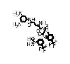 N[C@@H]1C[C@H](N)C[C@@H](NC(=O)CC[C@H](N)C(=O)N[C@H](Cc2ccc(C(F)(F)F)cc2)C(=O)Nc2cc(B(O)O)cc(C(F)(F)F)c2)C1